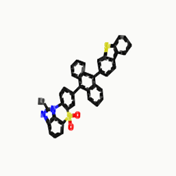 CCc1nc2cccc3c2n1-c1ccc(-c2c4ccccc4c(-c4ccc5c(c4)sc4ccccc45)c4ccccc24)cc1S3(=O)=O